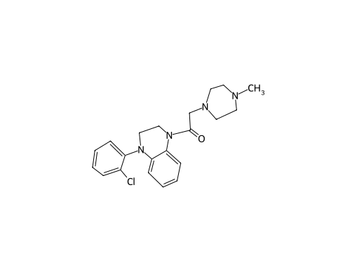 CN1CCN(CC(=O)N2CCN(c3ccccc3Cl)c3ccccc32)CC1